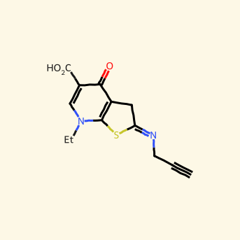 C#CCN=C1Cc2c(n(CC)cc(C(=O)O)c2=O)S1